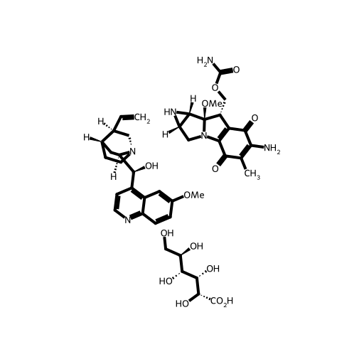 C=C[C@H]1C[N@]2CC[C@H]1C[C@@H]2[C@@H](O)c1ccnc2ccc(OC)cc12.CO[C@@]12[C@H](COC(N)=O)C3=C(C(=O)C(C)=C(N)C3=O)N1C[C@@H]1N[C@@H]12.O=C(O)[C@H](O)[C@@H](O)[C@H](O)[C@H](O)CO